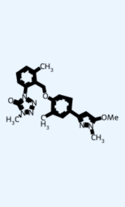 COc1cc(-c2ccc(OCc3c(C)cccc3-n3nnn(C)c3=O)c(C)c2)nn1C